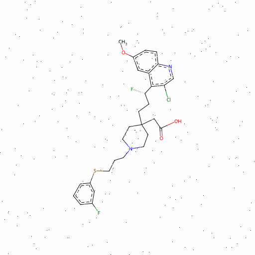 COc1ccc2ncc(Cl)c([C@@H](F)CCC3(CC(=O)O)CCN(CCCSc4cccc(F)c4)CC3)c2c1